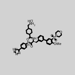 COc1ccc(-c2cccc(C[C@H](NC(=O)C3CCC(CN)CC3)C(=O)Nc3ccc(-c4nnn[nH]4)cc3)c2)cc1S(=O)(=O)N1CCOCC1.Cl